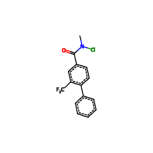 CN(Cl)C(=O)c1ccc(-c2ccccc2)c(C(F)(F)F)c1